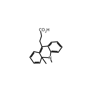 CN1c2ccccc2C(CCC(=O)O)=C2C=CC=CC21C